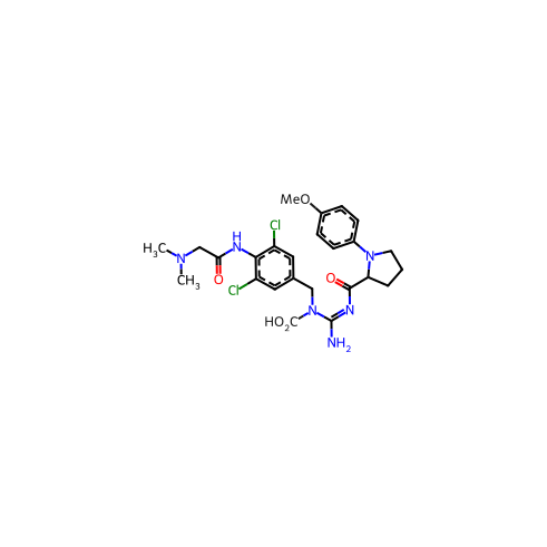 COc1ccc(N2CCCC2C(=O)N=C(N)N(Cc2cc(Cl)c(NC(=O)CN(C)C)c(Cl)c2)C(=O)O)cc1